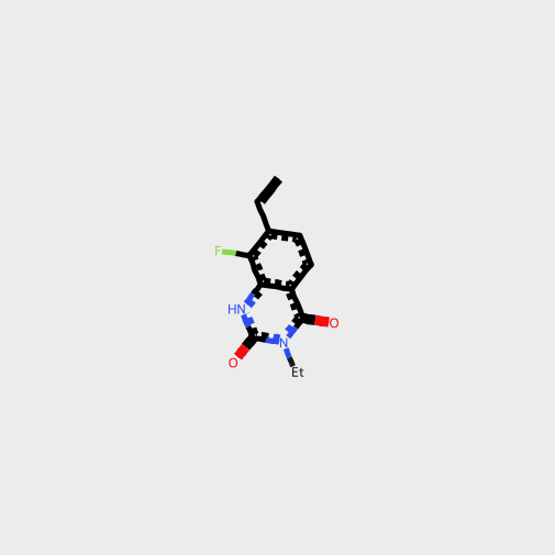 C=Cc1ccc2c(=O)n(CC)c(=O)[nH]c2c1F